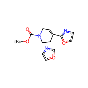 CC(C)(C)OC(=O)N1CC=C(c2ncco2)CC1.c1cocn1